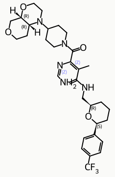 C=C(NC[C@H]1CCC[C@@H](c2ccc(C(F)(F)F)cc2)O1)/C(C)=C(\N=C/N)C(=O)N1CCC(N2CCO[C@H]3COCC[C@H]32)CC1